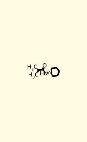 CC(C)C(=O)NN1CCCCC1